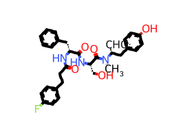 CN(C(=O)[C@H](CO)NC(=O)[C@@H](Cc1ccccc1)NC(=O)CCc1ccc(F)cc1)[C@H]([C]=O)Cc1ccc(O)cc1